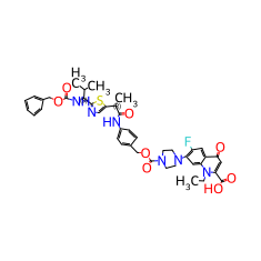 CCn1c(C(=O)O)cc(=O)c2cc(F)c(N3CCN(C(=O)OCc4ccc(NC(=O)[C@@H](C)c5cnc([C@@H](NC(=O)OCc6ccccc6)C(C)C)s5)cc4)CC3)cc21